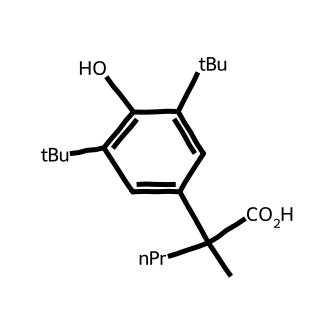 CCCC(C)(C(=O)O)c1cc(C(C)(C)C)c(O)c(C(C)(C)C)c1